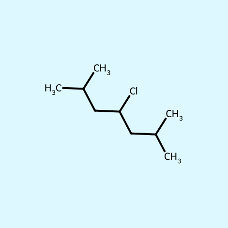 CC(C)CC(Cl)CC(C)C